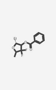 CC[C@H]1OC(C)C(F)(F)C1OC(=O)c1ccccc1